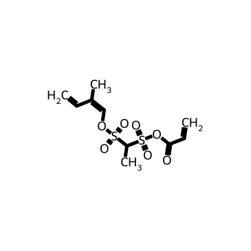 C=CC(=O)OS(=O)(=O)C(C)S(=O)(=O)OC=C(C)C=C